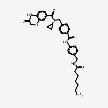 NCCCCCC(=O)NCc1ccc(NC(=O)c2ccc(CN(C(=O)c3ccc4c(c3)OCC(=O)N4)C3CC3)cc2)cc1